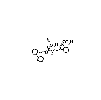 C=CCOC(=O)C(Cc1cn(C(=O)O)c2ccccc12)NC(=O)OCC1c2ccccc2-c2ccccc21